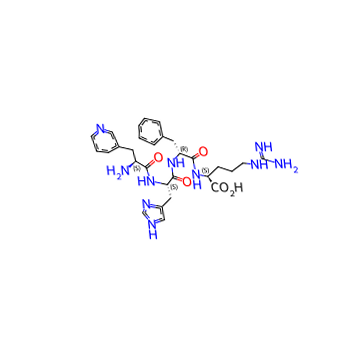 N=C(N)NCCC[C@H](NC(=O)[C@@H](Cc1ccccc1)NC(=O)[C@H](Cc1c[nH]cn1)NC(=O)[C@@H](N)Cc1cccnc1)C(=O)O